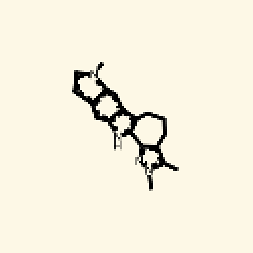 Cc1c2c(nn1C)-c1[nH]c3cc4ccn(C)c4cc3c1CCC2